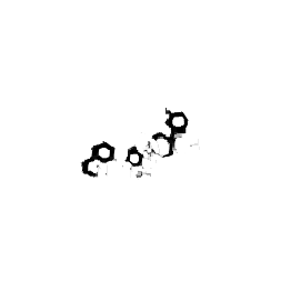 O=S(=O)(c1ccc(Sc2cccc3cccnc23)c2nonc12)N1CCC(O)(c2cccc(Cl)c2)CC1